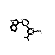 CC(C)c1cc(N2CCNC(c3c[nH]c4ccccc34)C2)nc(N)n1